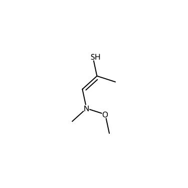 CON(C)/C=C(\C)S